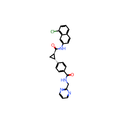 O=C(NCc1ncccn1)c1ccc([C@@H]2C[C@H]2C(=O)Nc2ccc3cccc(Cl)c3c2)cc1